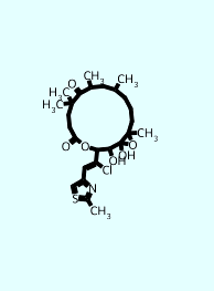 Cc1nc(C=C(Cl)C2OC(=O)CCC(C)(C)C(=O)C(C)CC(C)CCCC3(C)OC3(O)C2O)cs1